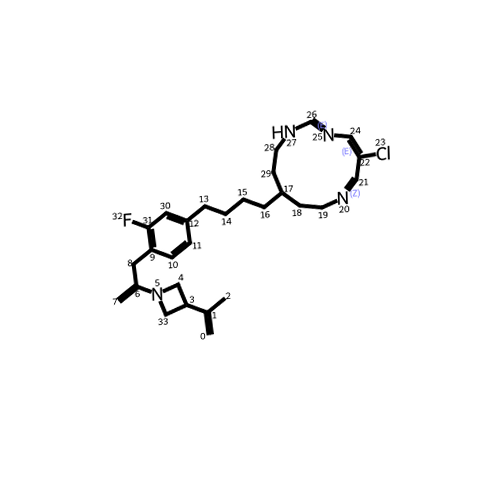 C=C(C)C1CN(C(=C)Cc2ccc(CCCCC3CC\N=C/C(Cl)=C\N=C\NCC3)cc2F)C1